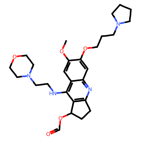 COc1cc2c(NCCN3CCOCC3)c3c(nc2cc1OCCCN1CCCC1)CCC3OC=O